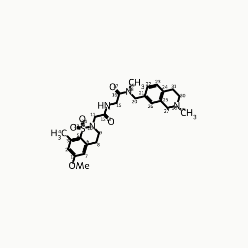 COc1cc(C)c2c(c1)CCN(CC(=O)NCC(=O)N(C)Cc1ccc3c(c1)CN(C)CC3)S2(=O)=O